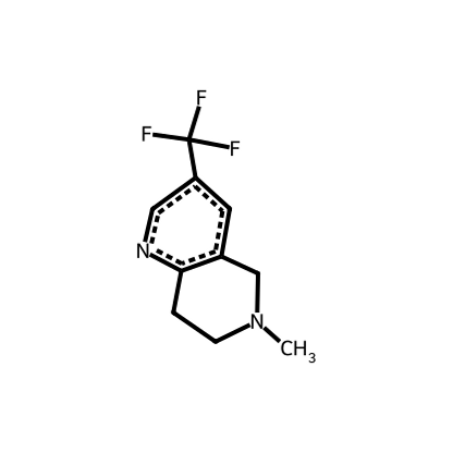 CN1CCc2ncc(C(F)(F)F)cc2C1